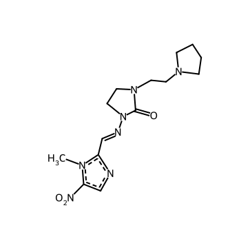 Cn1c([N+](=O)[O-])cnc1/C=N/N1CCN(CCN2CCCC2)C1=O